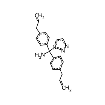 C=CCc1ccc(C(N)(c2ccc(CC=C)cc2)n2ccnn2)cc1